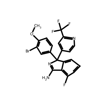 COc1ccc(C2(c3ccnc(C(F)(F)F)c3)N=C(N)c3c(F)cccc32)cc1Br